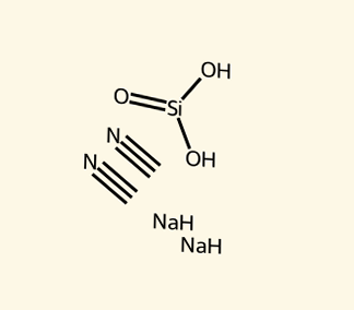 C#N.C#N.O=[Si](O)O.[NaH].[NaH]